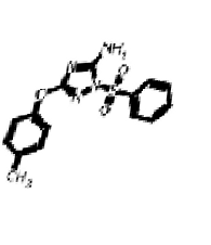 Cc1ccc(Oc2nc(N)n(S(=O)(=O)c3ccccc3)n2)cc1